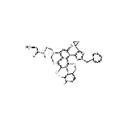 C=CC(=O)N1CCN(c2nc(=O)n(-c3nn(Cc4ccccc4)nc3C3CC3)c3c4c(c(Cl)cc23)-c2c(ccc(F)c2F)CO4)[C@@H](C)C1